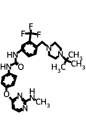 CNc1nccc(Oc2ccc(NC(=O)Nc3ccc(CN4CCN(C(C)(C)C)CC4)c(C(F)(F)F)c3)cc2)n1